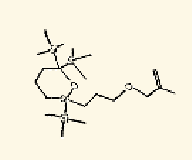 C=C(C)COCCC[Si]1([Si](C)(C)C)CCCC([Si](C)(C)C)([Si](C)(C)C)O1